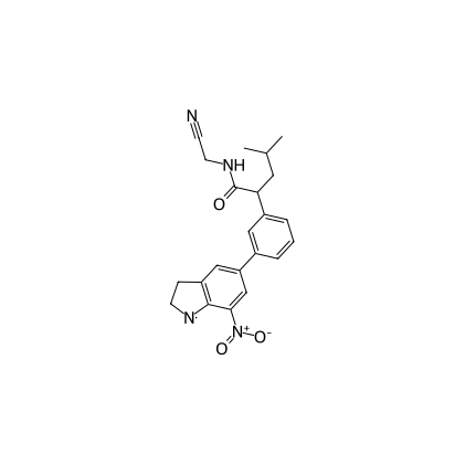 CC(C)CC(C(=O)NCC#N)c1cccc(-c2cc3c(c([N+](=O)[O-])c2)[N]CC3)c1